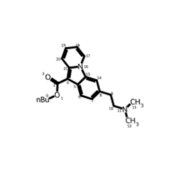 CCCCOC(=O)c1c2ccc(CCN(C)C)cc2n2ccccc12